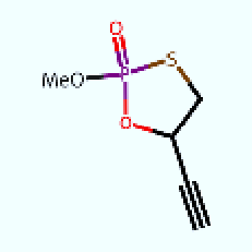 C#CC1CSP(=O)(OC)O1